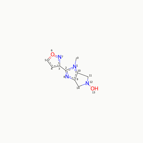 Cn1c(-c2ccon2)nc2c1CN(O)C2